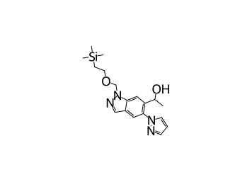 CC(O)c1cc2c(cnn2COCC[Si](C)(C)C)cc1-n1cccn1